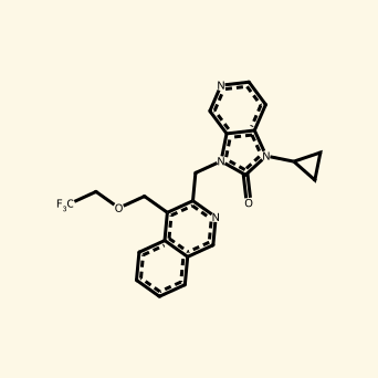 O=c1n(Cc2ncc3ccccc3c2COCC(F)(F)F)c2cnccc2n1C1CC1